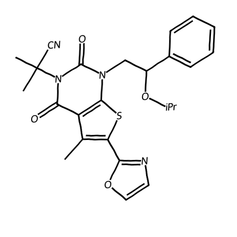 Cc1c(-c2ncco2)sc2c1c(=O)n(C(C)(C)C#N)c(=O)n2CC(OC(C)C)c1ccccc1